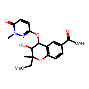 COCC1(C)Oc2ccc(C(=O)OC)cc2C(Oc2ccc(=O)n(C)n2)C1O